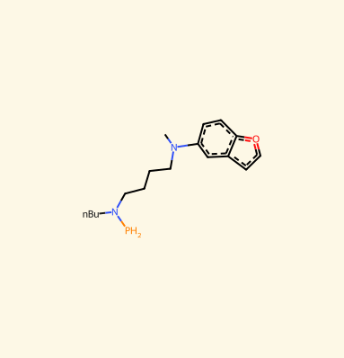 CCCCN(P)CCCCN(C)c1ccc2occc2c1